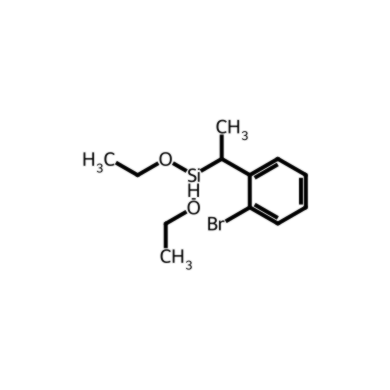 CCO[SiH](OCC)C(C)c1ccccc1Br